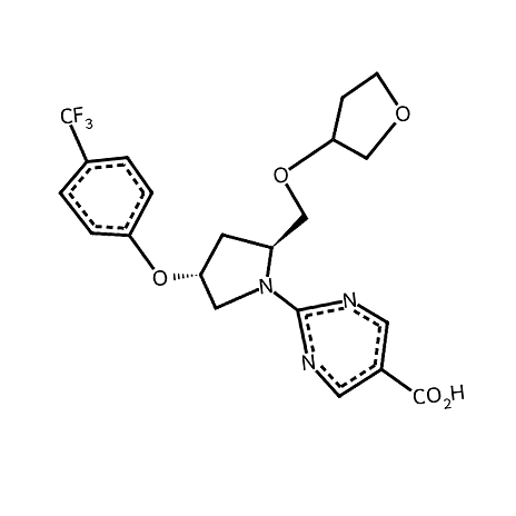 O=C(O)c1cnc(N2C[C@H](Oc3ccc(C(F)(F)F)cc3)C[C@H]2COC2CCOC2)nc1